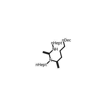 C=C(CCCCCCCCCCCCC)N(CCCCCCC)C(=C)NCCCCCCC